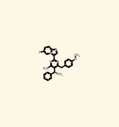 COc1ccc(Cc2nc(-c3cnc4ccc(F)cn34)nc(N)c2[C@@H](C)c2ccccc2)cc1